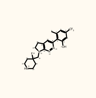 Cc1cc(C(F)(F)F)cc(O)c1-c1cc2c(nn1)N(CC1(F)CCNCC1)CC2